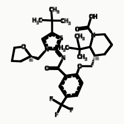 CC(C)(C)c1cn(C[C@H]2CCCO2)c(=NC(=O)c2cc(C(F)(F)F)ccc2OC[C@H]2CCCN(C(=O)O)C2C(C)(C)C)s1